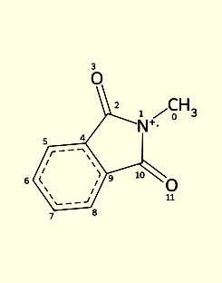 C[N+]1C(=O)c2ccccc2C1=O